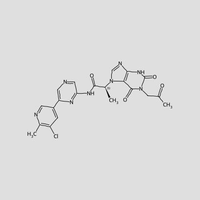 CC(=O)Cn1c(=O)[nH]c2ncn([C@@H](C)C(=O)Nc3cncc(-c4cnc(C)c(Cl)c4)n3)c2c1=O